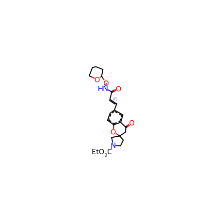 CCOC(=O)N1CCC2(CC(=O)c3cc(/C=C/C(=O)NOC4CCCCO4)ccc3O2)C1